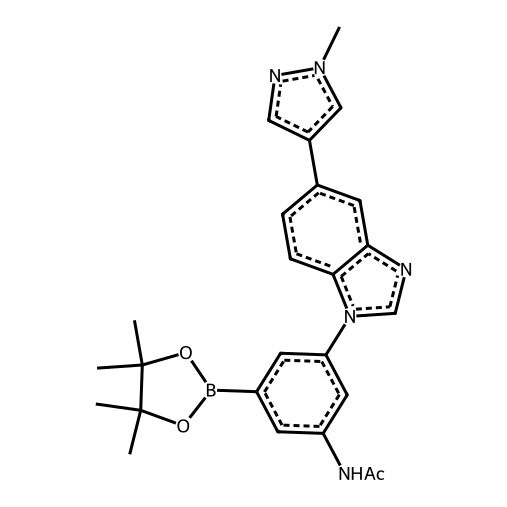 CC(=O)Nc1cc(B2OC(C)(C)C(C)(C)O2)cc(-n2cnc3cc(-c4cnn(C)c4)ccc32)c1